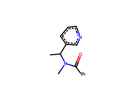 CC(C)C(=O)N(C)C(C)c1cccnc1